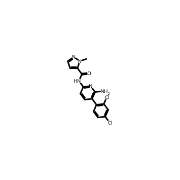 Cn1nccc1C(=O)Nc1ccc(-c2ccc(Cl)cc2Cl)c(N)n1